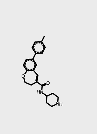 Cc1ccc(-c2ccc3c(c2)C=C(C(=O)NC2CCNCC2)CCO3)cc1